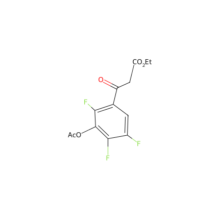 CCOC(=O)CC(=O)c1cc(F)c(F)c(OC(C)=O)c1F